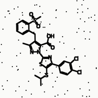 Cc1nn(-c2nc(-c3ccc(Cl)c(Cl)c3)c(SC(C)C)s2)c(C(=O)O)c1Cc1ccccc1S(C)(=O)=O